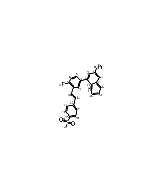 CC(C)c1cc(-c2ccc(F)c(C=Cc3ccc(S(C)(=O)=O)cc3)c2)c2ncccc2c1